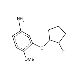 COc1ccc(N)cc1OC1CCCC1F